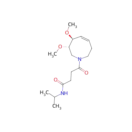 CO[C@H]1/C=C\CCN(C(=O)CCC(=O)NC(C)C)C[C@@H]1OC